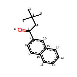 CC(C)(C)CC(=O)c1ccc2ccccc2c1